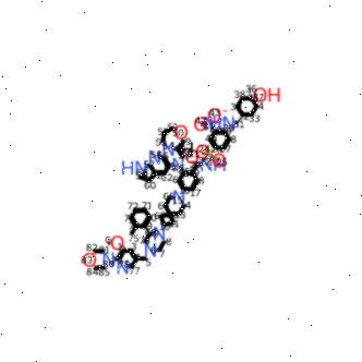 COc1cc(CN2CCN(C3CC4(CCN(c5ccc(C(=O)NS(=O)(=O)c6ccc(NC[C@H]7CC[C@](C)(O)CC7)c([N+](=O)[O-])c6)c(N6C[C@@H]7COCCCN7c7nc8[nH]ccc8cc76)c5)CC4)C3)[C@H](c3ccccc3C)C2)cnc1N1CCOCC1